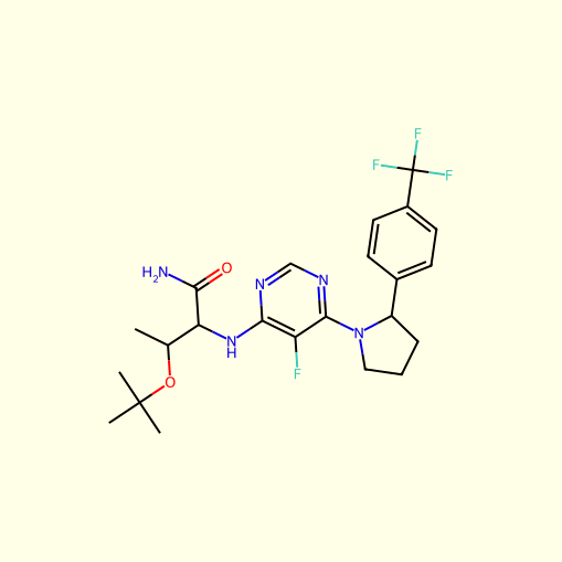 CC(OC(C)(C)C)C(Nc1ncnc(N2CCCC2c2ccc(C(F)(F)F)cc2)c1F)C(N)=O